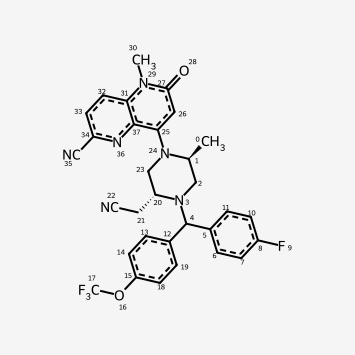 C[C@H]1CN(C(c2ccc(F)cc2)c2ccc(OC(F)(F)F)cc2)[C@H](CC#N)CN1c1cc(=O)n(C)c2ccc(C#N)nc12